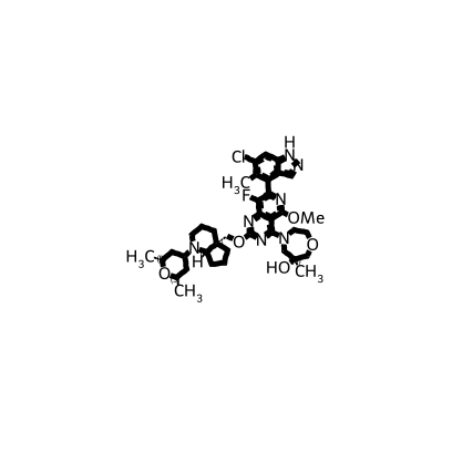 COc1nc(-c2c(C)c(Cl)cc3[nH]ncc23)c(F)c2nc(OC[C@]34CCC[C@H]3N(C3C[C@@H](C)O[C@@H](C)C3)CCC4)nc(N3CCOC[C@@](C)(O)C3)c12